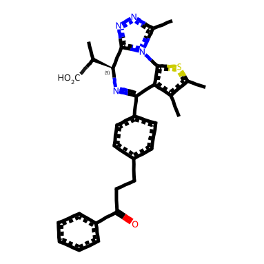 Cc1sc2c(c1C)C(c1ccc(CCC(=O)c3ccccc3)cc1)=N[C@@H](C(C)C(=O)O)c1nnc(C)n1-2